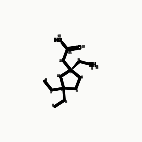 CCC1(CC)CC[C@](CN)(CC(=O)O)C1